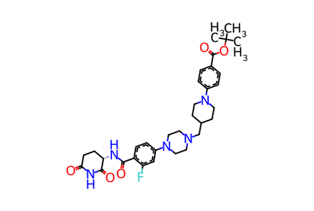 CC(C)(C)OC(=O)c1ccc(N2CCC(CN3CCN(c4ccc(C(=O)N[C@H]5CCC(=O)NC5=O)c(F)c4)CC3)CC2)cc1